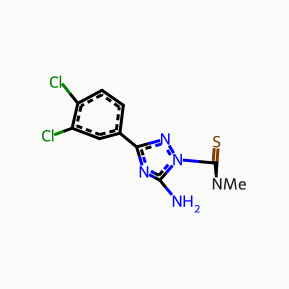 CNC(=S)n1nc(-c2ccc(Cl)c(Cl)c2)nc1N